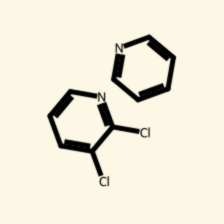 Clc1cccnc1Cl.c1ccncc1